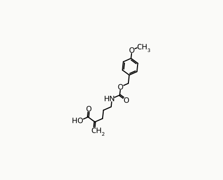 C=C(CCCNC(=O)OCc1ccc(OC)cc1)C(=O)O